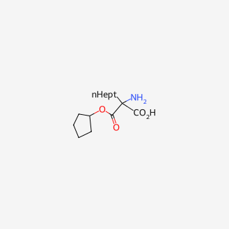 CCCCCCCC(N)(C(=O)O)C(=O)OC1CCCC1